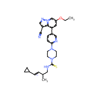 CCOc1cc(-c2ccc(N3CCN(C(=S)NCC(C)/C=C/C4CC4)CC3)nc2)c2c(C#N)cnn2c1